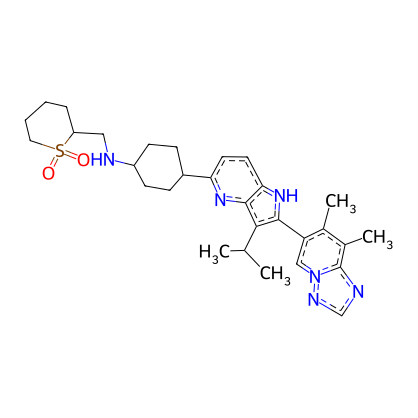 Cc1c(-c2[nH]c3ccc(C4CCC(NCC5CCCCS5(=O)=O)CC4)nc3c2C(C)C)cn2ncnc2c1C